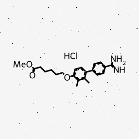 COC(=O)CCCCCOc1ccc(-c2ccc(C(=N)N)cc2)c(C)c1C.Cl